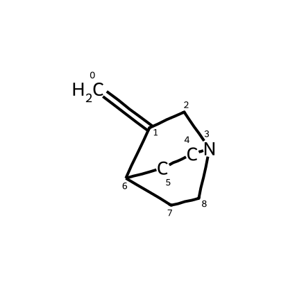 C=C1CN2CCC1CC2